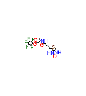 CC(CC(=O)Oc1c(F)c(F)c(F)c(F)c1F)NC(=O)CCCCC1SCC2NC(=O)NC21